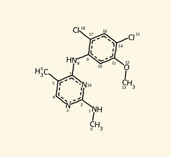 CNc1ncc(C)c(Nc2cc(OC)c(Cl)cc2Cl)n1